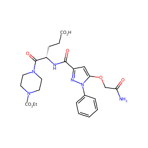 CCOC(=O)N1CCN(C(=O)[C@H](CCC(=O)O)NC(=O)c2cc(OCC(N)=O)n(-c3ccccc3)n2)CC1